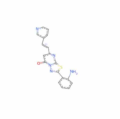 Nc1ccccc1-c1nn2c(=O)cc(/C=C/c3cccnc3)nc2s1